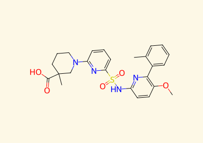 COc1ccc(NS(=O)(=O)c2cccc(N3CCCC(C)(C(=O)O)C3)n2)nc1-c1ccccc1C